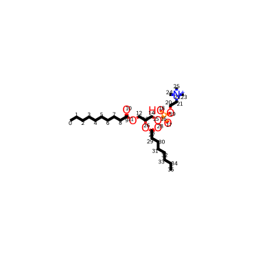 CCCCCCCCCC(=O)OCC(COP(=O)(O)OCC[N+](C)(C)C)OC(=O)CCCCCCC